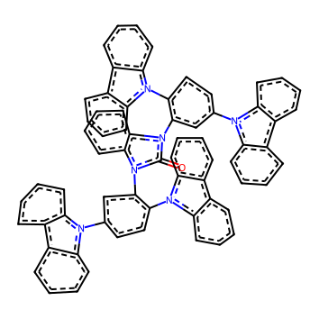 O=c1n(-c2cc(-n3c4ccccc4c4ccccc43)ccc2-n2c3ccccc3c3ccccc32)c2ccccc2n1-c1cc(-n2c3ccccc3c3ccccc32)ccc1-n1c2ccccc2c2ccccc21